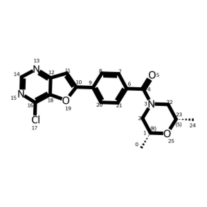 C[C@@H]1CN(C(=O)c2ccc(-c3cc4ncnc(Cl)c4o3)cc2)C[C@H](C)O1